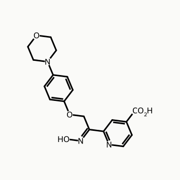 O=C(O)c1ccnc(/C(COc2ccc(N3CCOCC3)cc2)=N/O)c1